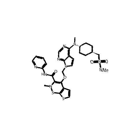 CNS(=O)(=O)C[C@H]1CC[C@H](N(C)c2ncnc3c2ccn3COC2=C(C(=O)Nc3ccccn3)N(C)Sc3sccc32)CC1